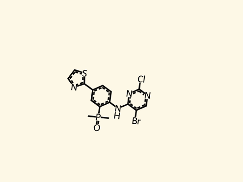 CP(C)(=O)c1cc(-c2nccs2)ccc1Nc1nc(Cl)ncc1Br